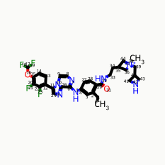 CCc1cc(Nc2nccn3c(-c4ccc(OC(F)F)c(F)c4F)cnc23)ccc1C(=O)NCCC1C[N+](C)(CC2CNC2)C1